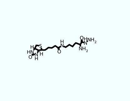 NNC(=O)C(N)CCCCNC(=O)CCCCC1SC[C@@H]2NC(=O)N[C@H]12